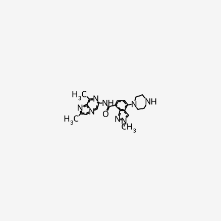 Cc1cn2cc(NC(=O)c3ccc(N4CCNCC4)c4cn(C)nc34)nc(C)c2n1